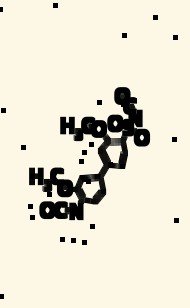 COc1cc(-c2ccc(S(=O)(=O)N=C=O)c(OC)c2)ccc1N=C=O